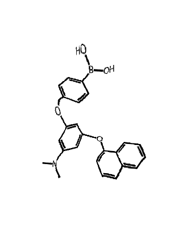 CN(C)c1cc(Oc2ccc(B(O)O)cc2)cc(Oc2cccc3ccccc23)c1